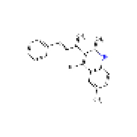 C=C(/C=C/c1ccccc1)C1=C(CCC)c2cc(C)ccc2NC1=C